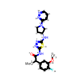 COC(C(=O)Nc1nnc(N[C@@H]2CCN(c3cccnn3)C2)s1)c1ccc(F)c(OC(F)(F)F)c1